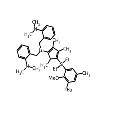 CC[Si](CC)(C1=C(C)C(C)=[C]([Lu]([CH2]c2ccccc2N(C)C)[CH2]c2ccccc2N(C)C)C1C)c1cc(C)cc(C(C)(C)C)c1OC